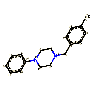 CCc1ccc(CN2CCN(c3cc[c]cc3)CC2)cc1